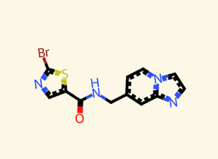 O=C(NCc1ccn2ccnc2c1)c1cnc(Br)s1